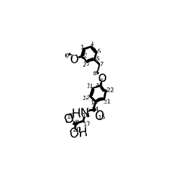 COc1cccc(CCOc2ccc(C(=O)NCC(=O)O)cc2)c1